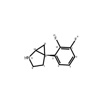 Fc1cccc([C@@]23CCNC2C3)c1F